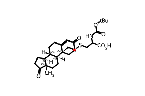 CC(C)(C)OC(=O)NC(CSSC[C@]12CCC(=O)C=C1CC[C@@H]1[C@@H]2CC[C@]2(C)C(=O)CC[C@@H]12)C(=O)O